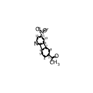 CC(=O)c1ccc2c(c1)-c1cc([N+](=O)[O-])cnc1-2